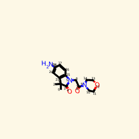 CC1(C)C(=O)N(CC(=O)N2CCOCC2)c2ccc(N)cc21